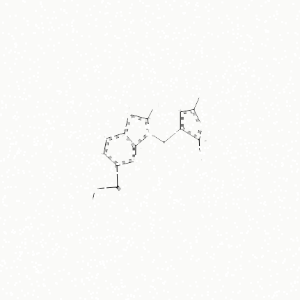 COC(=O)c1ccc2nc(C)n(Cc3cc(Cl)sc3Cl)c2n1